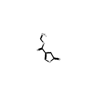 CCOC(=O)C1=COC(=O)C1